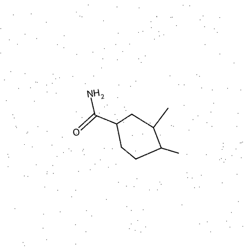 CC1CCC(C(N)=O)CC1C